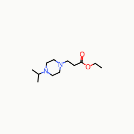 CCOC(=O)CCN1CCN(C(C)C)CC1